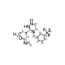 CCC(CC(N)=O)[C@H]1NNCCN1Cc1cccc(C(F)(F)F)c1